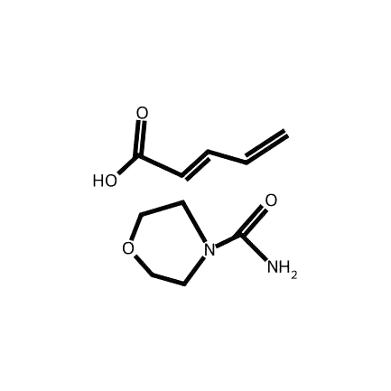 C=CC=CC(=O)O.NC(=O)N1CCOCC1